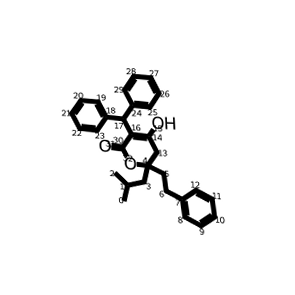 CC(C)CC1(CCc2ccccc2)CC(O)=C(C(c2ccccc2)c2ccccc2)C(=O)O1